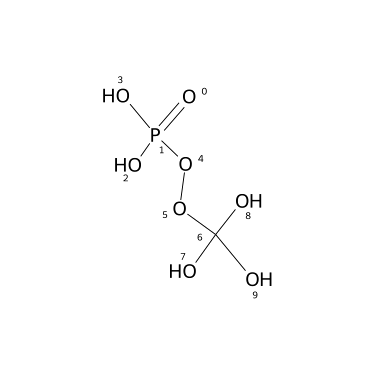 O=P(O)(O)OOC(O)(O)O